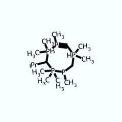 CC(C)C1[PH](C)(C)P(C)#C[PH](C)(C)CP(C)P1(C)(C)C